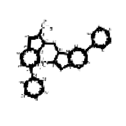 CC1=Cc2ccc(-c3ccccc3)cc2C1CC1C(C)=Cc2ccc(-c3ccccc3)cc21